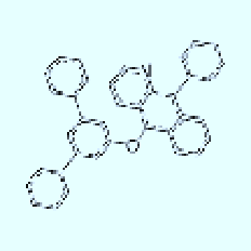 c1ccc(-c2cc(Oc3c4ccccc4c(-c4ccccc4)c4ncccc34)cc(-c3ccccc3)c2)cc1